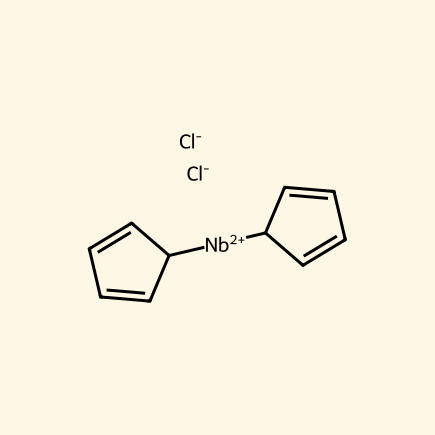 C1=C[CH]([Nb+2][CH]2C=CC=C2)C=C1.[Cl-].[Cl-]